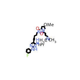 CCCNc1nc(Nc2cccc(F)c2)ncc1C#CCCCNC(=O)[C@@H]1C[C@H](OC)CN1C(=O)/C=C/CN(C)C